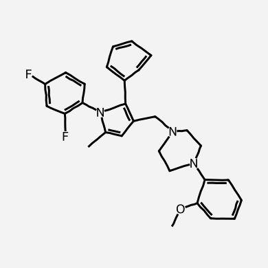 COc1ccccc1N1CCN(Cc2cc(C)n(-c3ccc(F)cc3F)c2-c2ccccc2)CC1